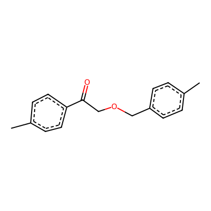 Cc1ccc(COCC(=O)c2ccc(C)cc2)cc1